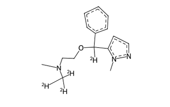 [2H]C(OCCN(C)C([2H])([2H])[2H])(c1ccccc1)c1ccnn1C